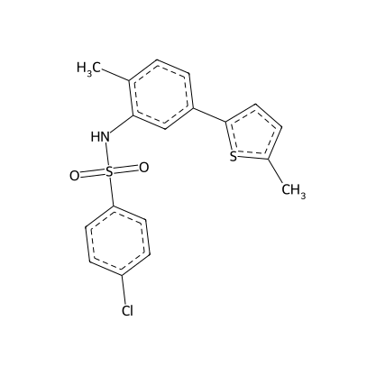 Cc1ccc(-c2ccc(C)c(NS(=O)(=O)c3ccc(Cl)cc3)c2)s1